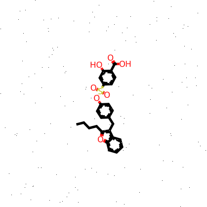 CCCCc1oc2ccccc2c1Cc1ccc(OS(=O)(=O)c2ccc(C(=O)O)c(O)c2)cc1